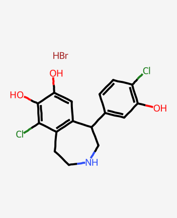 Br.Oc1cc(C2CNCCc3c2cc(O)c(O)c3Cl)ccc1Cl